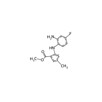 COC(=O)c1cc(C)sc1Nc1ccc(F)cc1N